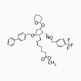 COC(=O)CCC/C=C\C[C@@H]1[C@@H](C=NOCc2ccc(C(F)(F)F)cc2)[C@H](OC2CCCCO2)C[C@@H]1OCc1ccc(-c2ccccc2)cc1